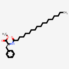 CCCCCCCCCCCCCCCCCC(=O)N[C@@H](Cc1ccccc1)C(=O)OC